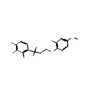 CCCCCOc1ccc(OCCC(F)(F)c2ccc(C)c(F)c2F)c(F)c1